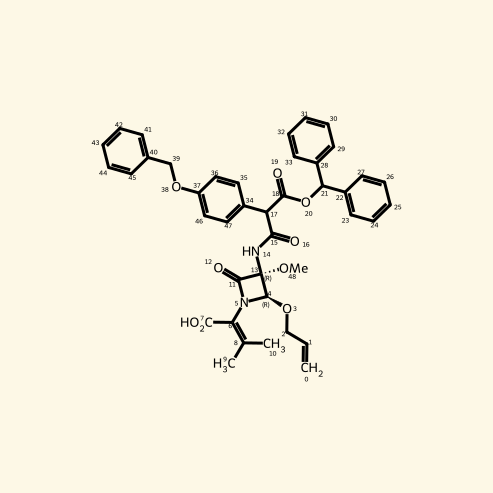 C=CCO[C@H]1N(C(C(=O)O)=C(C)C)C(=O)[C@]1(NC(=O)C(C(=O)OC(c1ccccc1)c1ccccc1)c1ccc(OCc2ccccc2)cc1)OC